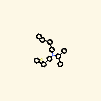 c1ccc(-c2cc(-c3ccccc3)cc(N(c3ccc(-c4cccc(-c5ccc6ccccc6c5)c4)cc3)c3ccc(-c4cccc5c4sc4ccccc45)cc3)c2)cc1